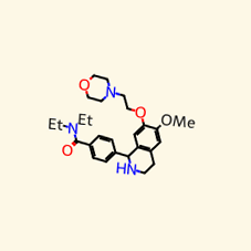 CCN(CC)C(=O)c1ccc(C2NCCc3cc(OC)c(OCCN4CCOCC4)cc32)cc1